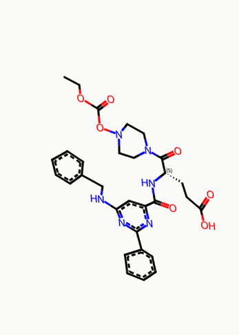 CCOC(=O)ON1CCN(C(=O)[C@H](CCC(=O)O)NC(=O)c2cc(NCc3ccccc3)nc(-c3ccccc3)n2)CC1